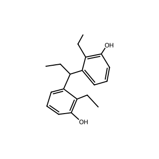 CCc1c(O)cccc1C(CC)c1cccc(O)c1CC